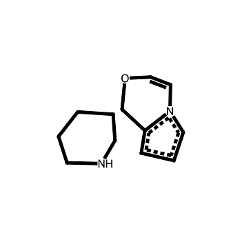 C1=Cn2cccc2CO1.C1CCNCC1